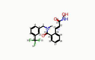 CN(Cc1cccc(C(F)(F)F)c1)C(=O)c1ccccc1/C=C/C(=O)NO